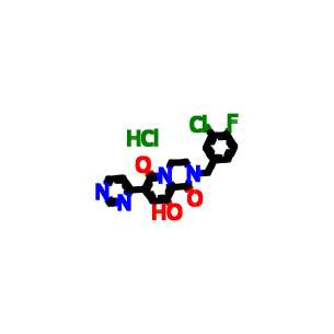 Cl.O=C1c2c(O)cc(-c3ccncn3)c(=O)n2CCN1Cc1ccc(F)c(Cl)c1